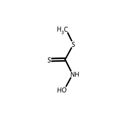 CSC(=S)NO